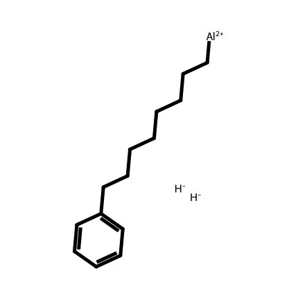 [Al+2][CH2]CCCCCCCc1ccccc1.[H-].[H-]